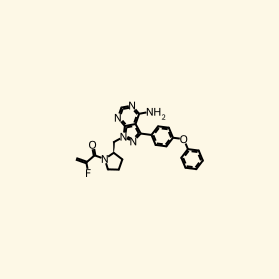 C=C(F)C(=O)N1CCC[C@@H]1Cn1nc(-c2ccc(Oc3ccccc3)cc2)c2c(N)ncnc21